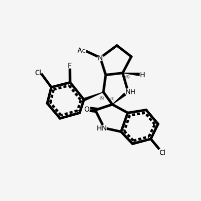 CC(=O)N1CC[C@@H]2N[C@@]3(C(=O)Nc4cc(Cl)ccc43)[C@@H](c3cccc(Cl)c3F)C21